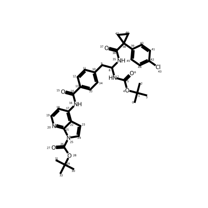 CC(C)(C)OC(=O)NC(Cc1ccc(C(=O)Nc2ccnc3c2ccn3C(=O)OC(C)(C)C)cc1)NC(=O)C1(c2ccc(Cl)cc2)CC1